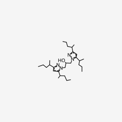 CCCC(C)c1cc(C(C)CCC)n(CC(O)Cn2nc(C(C)CCC)cc2C(C)CCC)n1